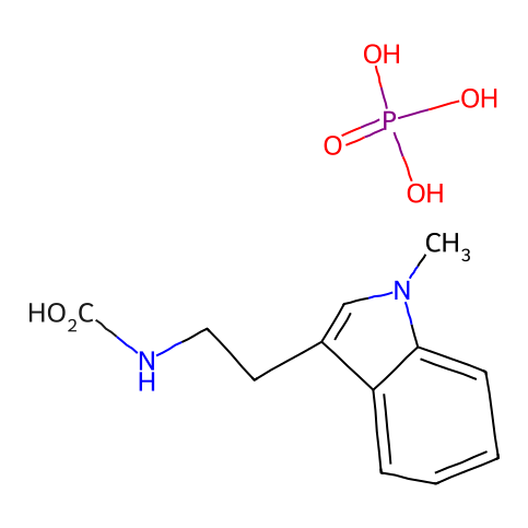 Cn1cc(CCNC(=O)O)c2ccccc21.O=P(O)(O)O